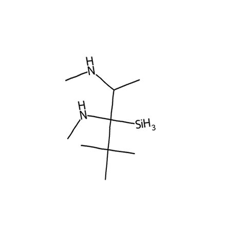 CNC(C)C([SiH3])(NC)C(C)(C)C